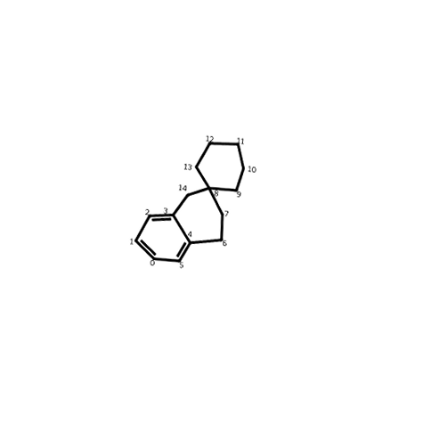 c1ccc2c(c1)CCC1(CCCCC1)C2